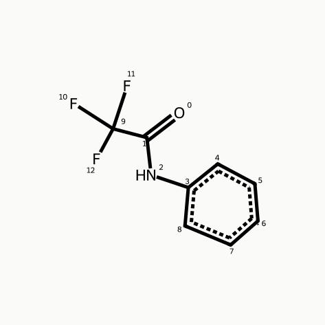 O=C(Nc1cc[c]cc1)C(F)(F)F